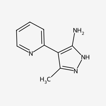 Cc1n[nH]c(N)c1-c1ccccn1